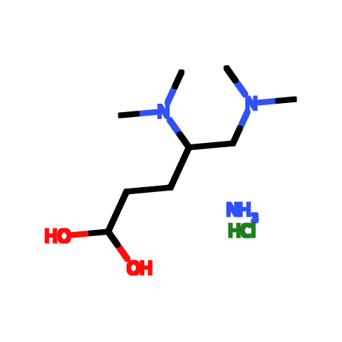 CN(C)CC(CCC(O)O)N(C)C.Cl.N